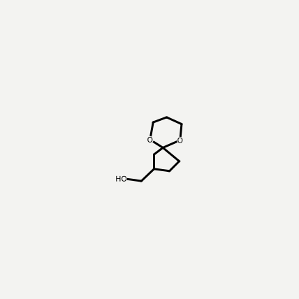 OCC1CCC2(C1)OCCCO2